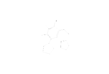 Cc1c(N)c(CC(C)C)c(C2CCCC2)c(C2CCCC2)c1N